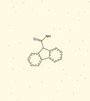 [NH]C(=O)C1c2ccccc2-c2ccccc21